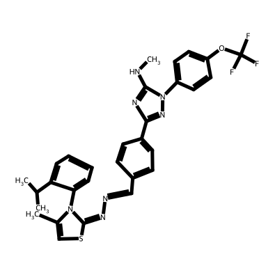 CNc1nc(-c2ccc(C=NN=c3scc(C)n3-c3ccccc3C(C)C)cc2)nn1-c1ccc(OC(F)(F)F)cc1